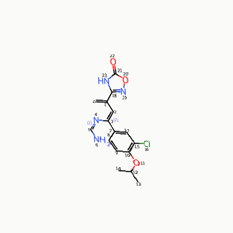 C=C(/C=C(\N=C/N)c1ccc(OC(C)C)c(Cl)c1)c1noc(=O)[nH]1